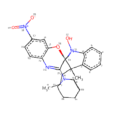 CCCC1(C)c2ccccc2N(O)[C@]12Oc1cc([N+](=O)[O-])ccc1N=C2N1CCCCC1